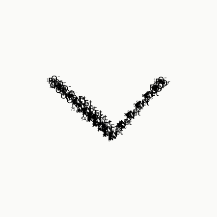 CC[n+]1ccn(C)c1.CC[n+]1ccn(C)c1.CC[n+]1ccn(C)c1.CC[n+]1ccn(C)c1.CC[n+]1ccn(C)c1.CC[n+]1ccn(C)c1.CC[n+]1ccn(C)c1.CC[n+]1ccn(C)c1.CC[n+]1ccn(C)c1.CC[n+]1ccn(C)c1.CC[n+]1ccn(C)c1.CC[n+]1ccn(C)c1.O=P([O-])([O-])F.O=P([O-])([O-])F.O=P([O-])([O-])F.O=P([O-])([O-])F.O=P([O-])([O-])F.O=P([O-])([O-])F